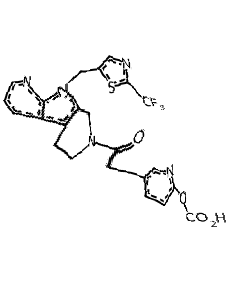 O=C(O)Oc1ccc(CC(=O)N2CCc3c(n(Cc4cnc(C(F)(F)F)s4)c4ncccc34)C2)cn1